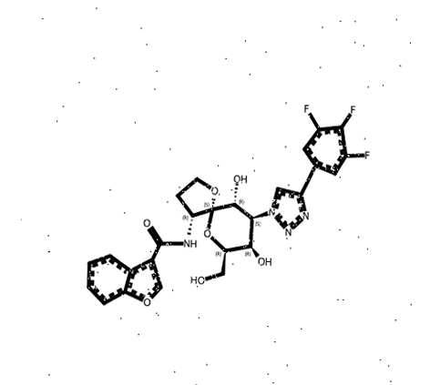 O=C(N[C@@H]1CCO[C@]12O[C@H](CO)[C@H](O)[C@H](n1cc(-c3cc(F)c(F)c(F)c3)nn1)[C@H]2O)c1coc2ccccc12